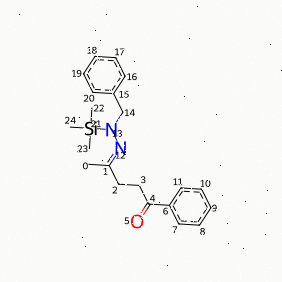 CC(CCC(=O)c1ccccc1)=NN(Cc1ccccc1)[Si](C)(C)C